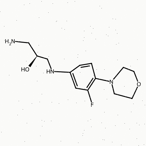 NC[C@H](O)CNc1ccc(N2CCOCC2)c(F)c1